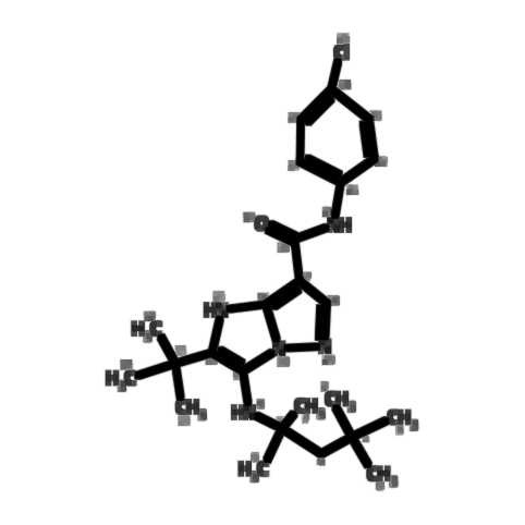 CC(C)(C)CC(C)(C)Nc1c(C(C)(C)C)[nH]c2c(C(=O)Nc3ccc(Cl)cc3)cnn12